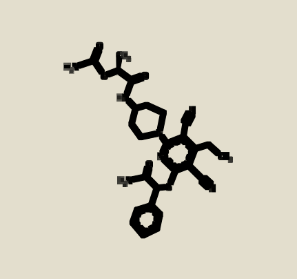 CCc1c(C#N)c(SC(C(N)=O)c2ccccc2)nc(N2CCC(NC(=O)[C@H](C)OC(N)=O)CC2)c1C#N